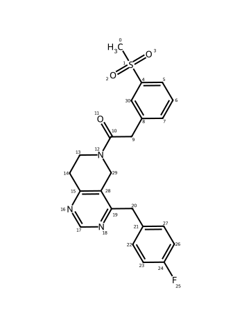 CS(=O)(=O)c1cccc(CC(=O)N2CCc3ncnc(Cc4ccc(F)cc4)c3C2)c1